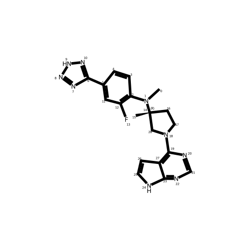 CN(c1ccc(-c2nn[nH]n2)cc1F)[C@]1(C)CCN(c2ncnc3[nH]ccc23)C1